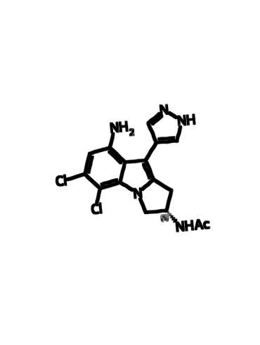 CC(=O)N[C@H]1Cc2c(-c3cn[nH]c3)c3c(N)cc(Cl)c(Cl)c3n2C1